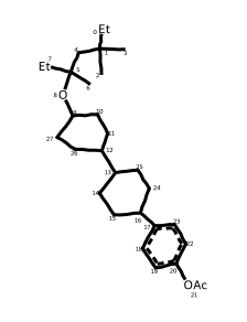 CCC(C)(C)CC(C)(CC)OC1CCC(C2CCC(c3ccc(OC(C)=O)cc3)CC2)CC1